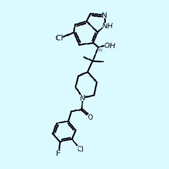 CC(C)(C1CCN(C(=O)Cc2ccc(F)c(Cl)c2)CC1)[C@H](O)c1cc(Cl)cc2cn[nH]c12